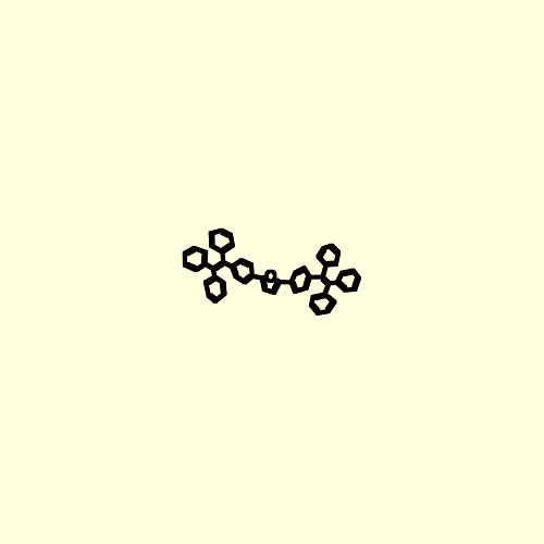 c1ccc(C(=C(c2ccccc2)c2ccc(-c3ccc(-c4ccc(C(=C(c5ccccc5)c5ccccc5)c5ccccc5)cc4)o3)cc2)c2ccccc2)cc1